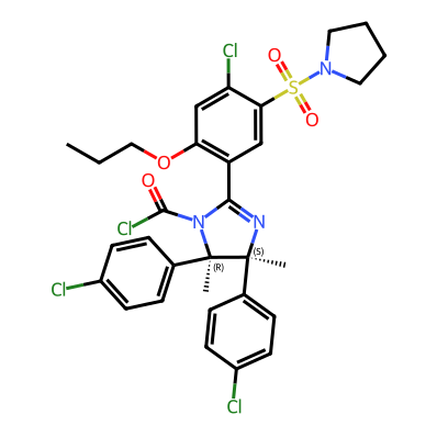 CCCOc1cc(Cl)c(S(=O)(=O)N2CCCC2)cc1C1=N[C@@](C)(c2ccc(Cl)cc2)[C@@](C)(c2ccc(Cl)cc2)N1C(=O)Cl